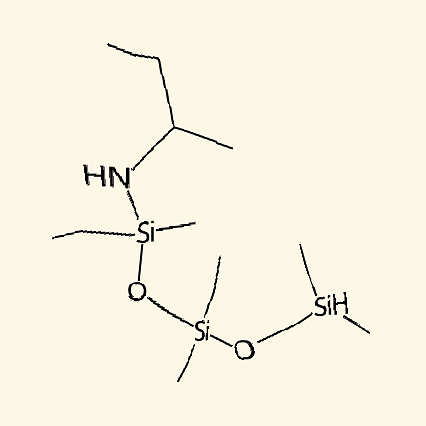 CCC(C)N[Si](C)(C)O[Si](C)(C)O[SiH](C)C